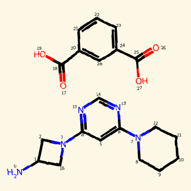 NC1CN(c2cc(N3CCCCC3)ncn2)C1.O=C(O)c1cccc(C(=O)O)c1